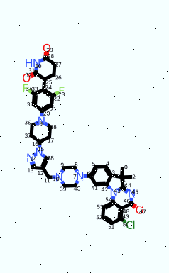 CC1(C)c2ccc(N3CCN(Cc4cnn(C5CCN(c6cc(F)c(C7CCC(=O)NC7=O)c(F)c6)CC5)c4)CC3)cc2-n2c1nc(=O)c1c(Cl)cccc12